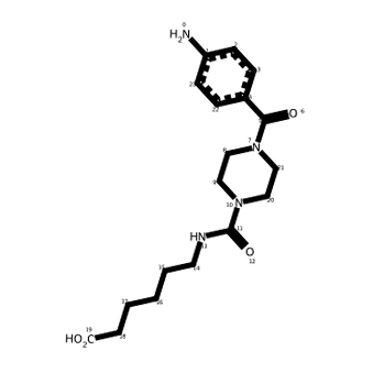 Nc1ccc(C(=O)N2CCN(C(=O)NCCCCCC(=O)O)CC2)cc1